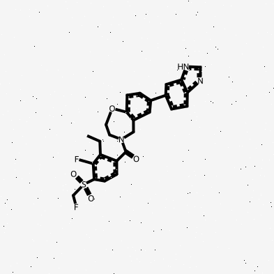 CCc1c(C(=O)N2CCOc3ccc(-c4ccc5nc[nH]c5c4)cc3C2)ccc(S(=O)(=O)CF)c1F